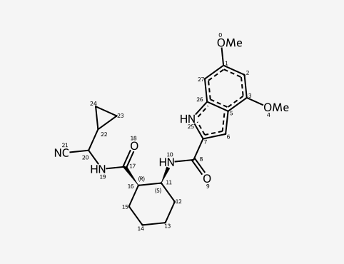 COc1cc(OC)c2cc(C(=O)N[C@H]3CCCC[C@H]3C(=O)NC(C#N)C3CC3)[nH]c2c1